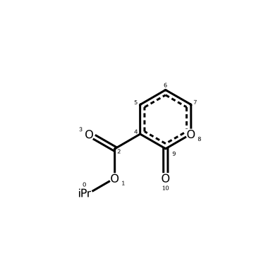 CC(C)OC(=O)c1cccoc1=O